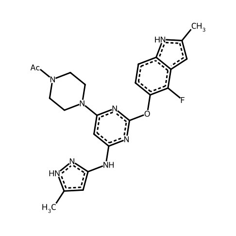 CC(=O)N1CCN(c2cc(Nc3cc(C)[nH]n3)nc(Oc3ccc4[nH]c(C)cc4c3F)n2)CC1